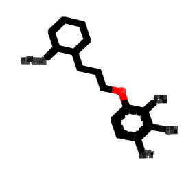 CCCCCC1CCCCC1CCCOc1ccc(CCC)c(C#N)c1C#N